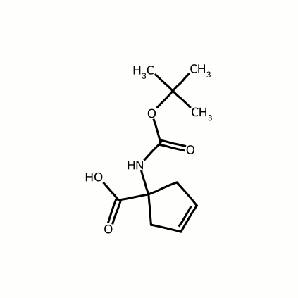 CC(C)(C)OC(=O)NC1(C(=O)O)CC=CC1